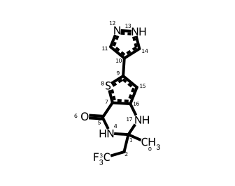 CC1(CC(F)(F)F)NC(=O)c2sc(-c3cn[nH]c3)cc2N1